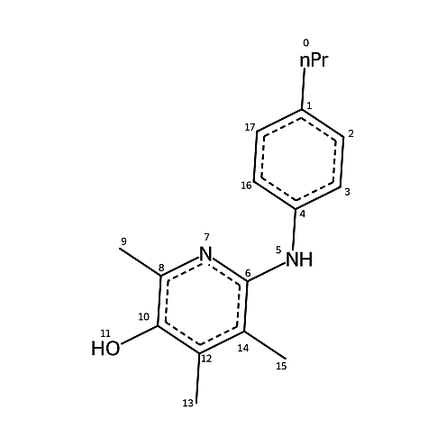 CCCc1ccc(Nc2nc(C)c(O)c(C)c2C)cc1